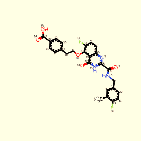 Cc1cc(CNC(=O)c2nc3ccc(F)c(OCCc4ccc(C(=O)O)cc4)c3c(=O)[nH]2)ccc1F